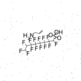 C=CCN.O=S(=O)(O)C(F)C(F)(F)C(F)(F)C(F)(F)C(F)(F)C(F)(F)C(F)C(F)F